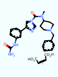 CN(C(=O)n1cnc(-c2cccc(NC(N)=O)c2)c1)C1CCN(Cc2ccccc2)CC1.O=C(O)/C=C\C(=O)O